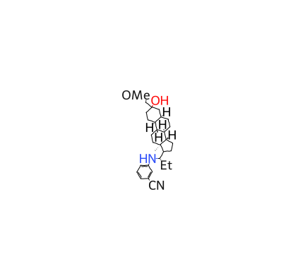 CC[C@H](Nc1cccc(C#N)c1)C1CC[C@H]2[C@@H]3CC[C@@H]4C[C@@](O)(COC)CC[C@@H]4[C@H]3CC[C@]12C